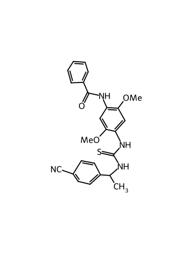 COc1cc(NC(=S)NC(C)c2ccc(C#N)cc2)c(OC)cc1NC(=O)c1ccccc1